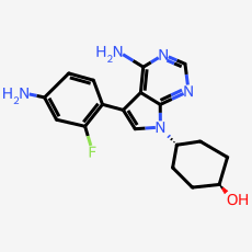 Nc1ccc(-c2cn([C@H]3CC[C@H](O)CC3)c3ncnc(N)c23)c(F)c1